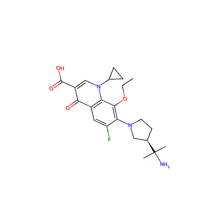 CCOc1c(N2CC[C@@H](C(C)(C)N)C2)c(F)cc2c(=O)c(C(=O)O)cn(C3CC3)c12